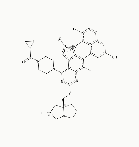 C#Cc1c(F)ccc2cc(O)cc(-c3c(F)c4nc(OC[C@@]56CCCN5C[C@H](F)C6)nc(N5CCN(C(=O)C6CO6)CC5)c4c4cn(C)nc34)c12